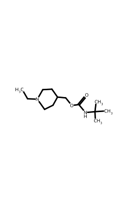 CCN1CCC(COC(=O)NC(C)(C)C)CC1